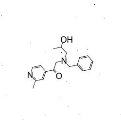 Cc1cc(C(=O)CN(Cc2ccccc2)CC(C)O)ccn1